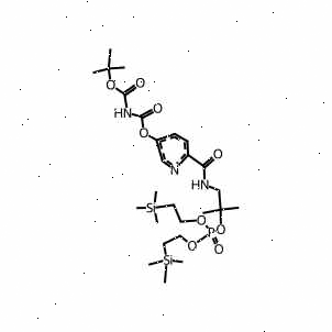 CC(C)(C)OC(=O)NC(=O)Oc1ccc(C(=O)NCC(C)(C)OP(=O)(OCC[Si](C)(C)C)OCC[Si](C)(C)C)nc1